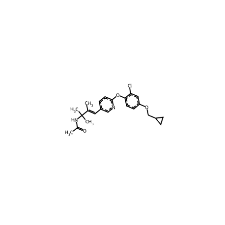 CC(=O)NC(C)(C)/C(C)=C/c1ccc(Oc2ccc(OCC3CC3)cc2Cl)nc1